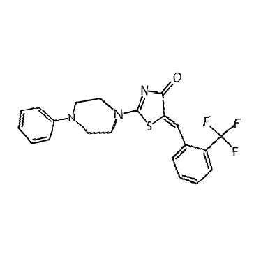 O=C1N=C(N2CCN(c3ccccc3)CC2)SC1=Cc1ccccc1C(F)(F)F